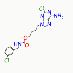 Nc1nc(Cl)nc2c1ncn2CCCCOC(=O)NCc1cccc(Cl)c1